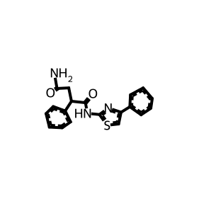 NC(=O)CC(C(=O)Nc1nc(-c2ccccc2)cs1)c1ccccc1